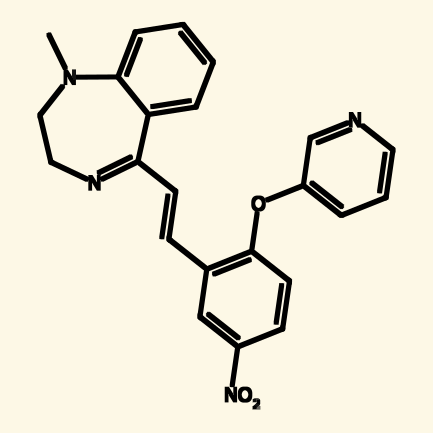 CN1CCN=C(C=Cc2cc([N+](=O)[O-])ccc2Oc2cccnc2)c2ccccc21